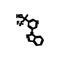 CC(O)(c1cncc(-n2ncc3ccccc32)c1)C(F)(F)F